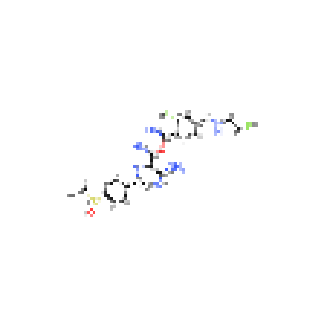 CC(C)[S+]([O-])c1ccc(-c2cnc(N)c(C(=N)OC(=N)c3ccc(CNCCF)cc3F)n2)cc1